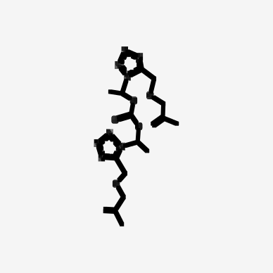 C=C(C)COCc1nnnn1C(C)OC(=O)OC(C)n1nnnc1COCC(=C)C